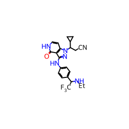 CCNC(c1ccc(Nc2nn(C(CC#N)C3CC3)c3cc[nH]c(=O)c23)cc1)C(F)(F)F